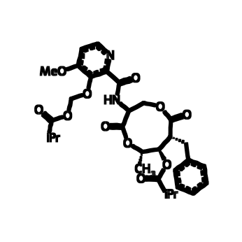 COc1ccnc(C(=O)NC2COC(=O)[C@H](Cc3ccccc3)[C@@H](OC(=O)C(C)C)[C@H](C)OC2=O)c1OCOC(=O)C(C)C